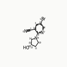 N#Cc1cc(Br)cnc1N1CC[C@H](O)C1